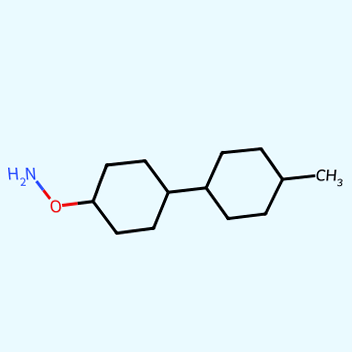 CC1CCC(C2CCC(ON)CC2)CC1